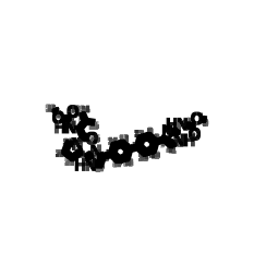 COC(=O)Nc1nc(-c2ccc(-c3ccc(-c4c[nH]c([C@@H]5CCCN5C(=O)[C@@H](NC(=O)OC)C(C)C)n4)cc3)cc2)c[nH]1